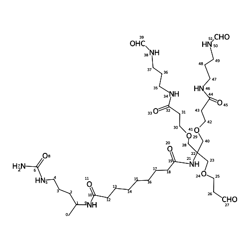 CC(CCCNC(N)=O)NC(=O)CCCCCCCC(=O)NC(COCCC=O)(COCCC(=O)NCCCNC=O)COCCC(=O)NCCCNC=O